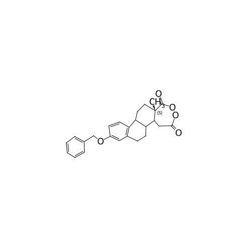 C[C@]12CCC3c4ccc(OCc5ccccc5)cc4CCC3C1CC(=O)OOC2=O